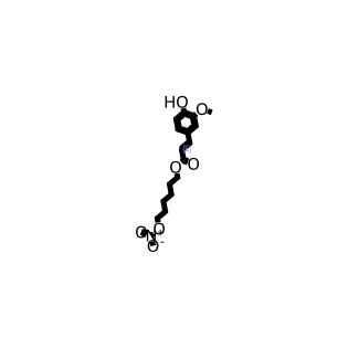 COc1cc(/C=C/C(=O)OCCCCCCO[N+](=O)[O-])ccc1O